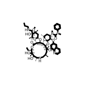 CCCNC[C@]1(O)[C@H](C)O[C@@H](O[C@H]2[C@H](C)[C@@H](O[C@@H]3O[C@H](C)C[C@H](N(C)C(=O)N(C)c4ccccc4)[C@H]3Oc3ccc4ncccc4c3)[C@](C)(O)C[C@@H](C)CN[C@H](C)[C@@H](O)[C@](C)(O)[C@@H](CC)OC(=O)[C@@H]2C)C[C@@]1(C)OC